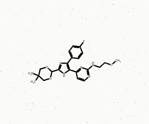 COCCNc1nccc(-c2[nH]c(C3OCC(C)(N)CO3)nc2-c2ccc(F)cc2)n1